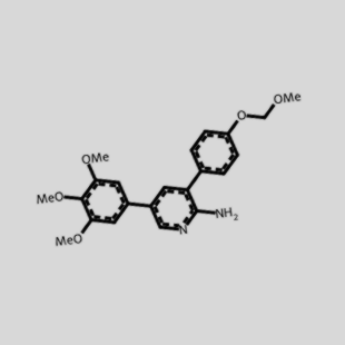 COCOc1ccc(-c2cc(-c3cc(OC)c(OC)c(OC)c3)cnc2N)cc1